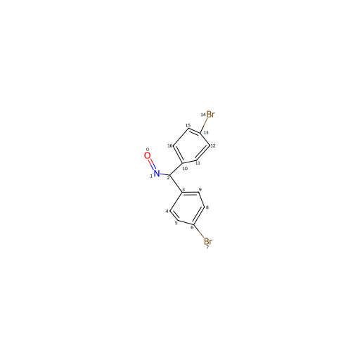 O=NC(c1ccc(Br)cc1)c1ccc(Br)cc1